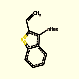 C=Cc1sc2ccccc2c1CCCCCC